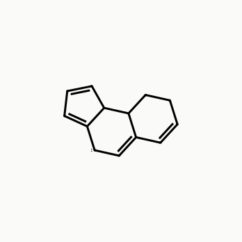 [C]1C=C2C=CCCC2C2C=CC=C12